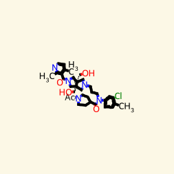 CC(=O)N1CCC(C(=O)N(CCCN2C[C@@]3(CO)CN(C(=O)c4c(C)ccnc4C)C[C@@]3(CO)C2)c2ccc(C)c(Cl)c2)CC1